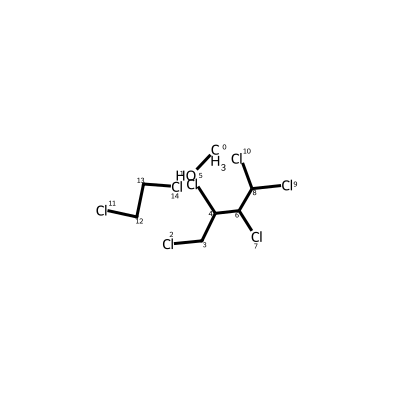 CO.ClCC(Cl)C(Cl)C(Cl)Cl.ClCCCl